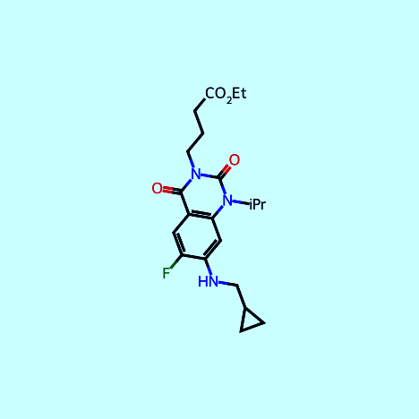 CCOC(=O)CCCn1c(=O)c2cc(F)c(NCC3CC3)cc2n(C(C)C)c1=O